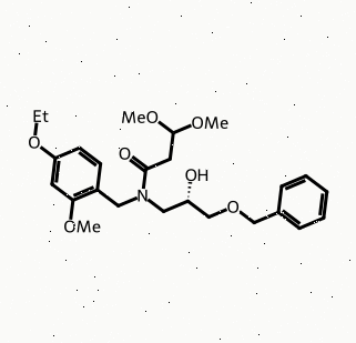 CCOc1ccc(CN(C[C@H](O)COCc2ccccc2)C(=O)CC(OC)OC)c(OC)c1